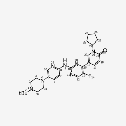 CC(C)(C)N1CCN(c2ccc(Nc3ncc(F)c(-c4ccc(=O)n(C5CCCC5)c4)n3)nc2)CC1